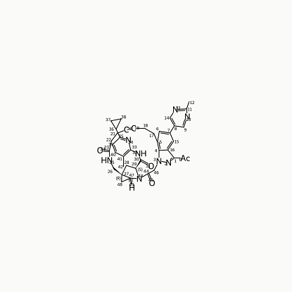 CC(=O)c1nn2c3c(cc(-c4cnc(C)nc4)cc13)CCCCCCC(=O)NC[C@@]13C[C@@H](C(=O)Nc4nc(C5CC5)ccc4C)N(C(=O)C2)[C@@H]1C3